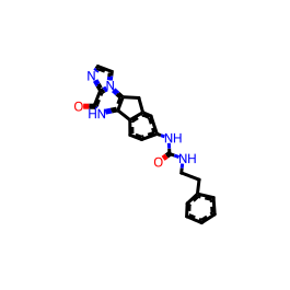 O=C(NCCc1ccccc1)Nc1ccc2c(c1)Cc1c-2[nH]c(=O)c2nccn12